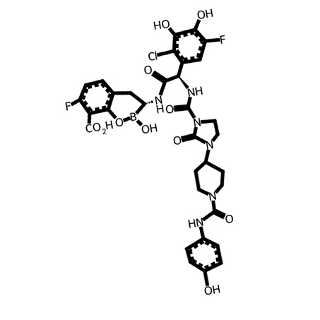 O=C(O)c1c(F)ccc2c1OB(O)[C@@H](NC(=O)[C@H](NC(=O)N1CCN(C3CCN(C(=O)Nc4ccc(O)cc4)CC3)C1=O)c1cc(F)c(O)c(O)c1Cl)C2